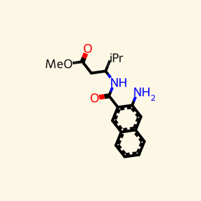 COC(=O)CC(NC(=O)c1cc2ccccc2cc1N)C(C)C